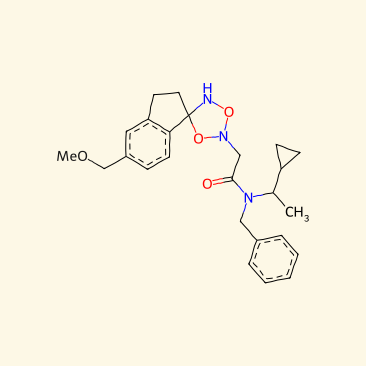 COCc1ccc2c(c1)CCC21NON(CC(=O)N(Cc2ccccc2)C(C)C2CC2)O1